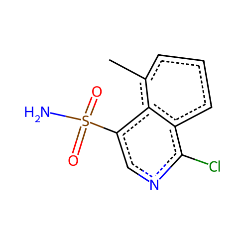 Cc1cccc2c(Cl)ncc(S(N)(=O)=O)c12